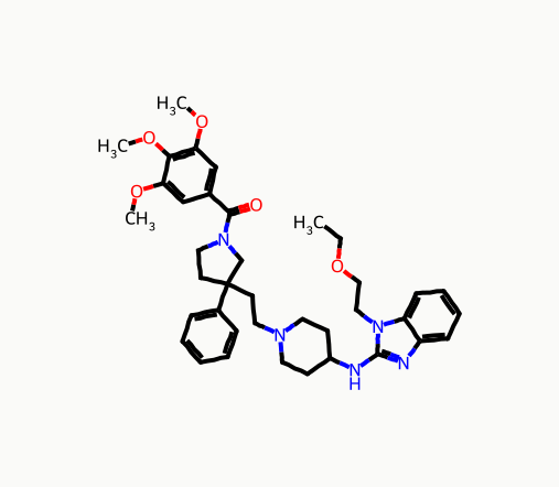 CCOCCn1c(NC2CCN(CCC3(c4ccccc4)CCN(C(=O)c4cc(OC)c(OC)c(OC)c4)C3)CC2)nc2ccccc21